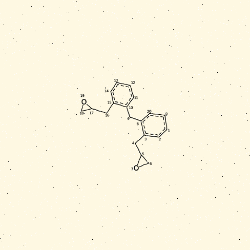 c1ccc(CC2CO2)c(Cc2ccccc2CC2CO2)c1